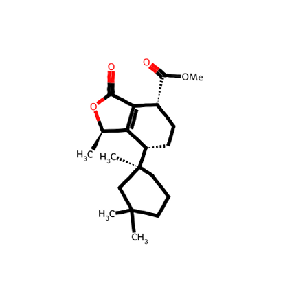 COC(=O)[C@@H]1CC[C@H]([C@@]2(C)CCCC(C)(C)C2)C2=C1C(=O)O[C@@H]2C